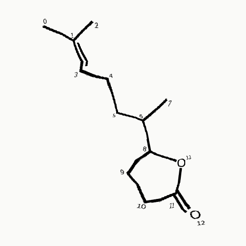 CC(C)=CCCC(C)C1CCC(=O)O1